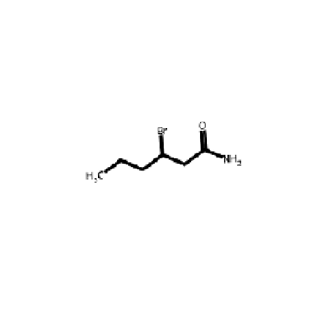 CCCC(Br)CC(N)=O